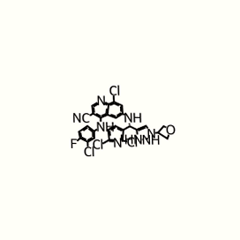 N#Cc1cnc2c(Cl)cc(N[C@H](C3=CN(C4COC4)NN3)c3ccc(Cl)nc3Cl)cc2c1Nc1ccc(F)c(Cl)c1